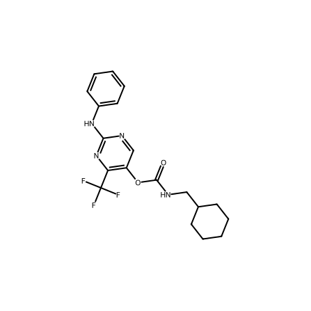 O=C(NCC1CCCCC1)Oc1cnc(Nc2ccccc2)nc1C(F)(F)F